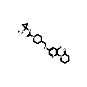 CC1(OC(=O)N2CCC(COc3cnc(N4CCCCC4=O)c(F)c3)CC2)CC1